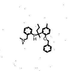 CCCC(C)(Pc1ccccc1CN(C)C)c1cc(C)ccc1OCc1ccccc1